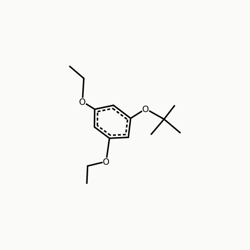 CCOc1cc(OCC)cc(OC(C)(C)C)c1